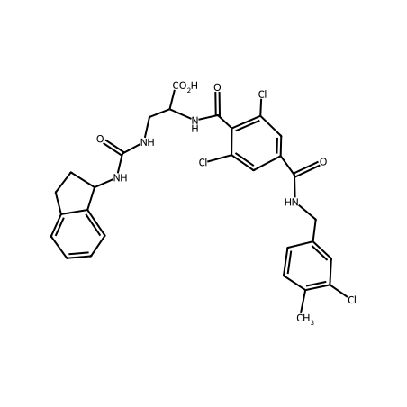 Cc1ccc(CNC(=O)c2cc(Cl)c(C(=O)NC(CNC(=O)NC3CCc4ccccc43)C(=O)O)c(Cl)c2)cc1Cl